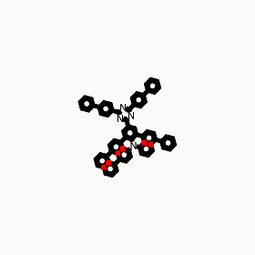 c1ccc(-c2ccc(-c3nc(-c4ccc(-c5ccccc5)cc4)nc(-c4cc(-c5ccc(-c6ccccc6)cc5)c(N(c5ccccc5)c5ccc(-c6ccccc6)cc5)c(-c5ccc(-c6ccccc6)cc5)c4)n3)cc2)cc1